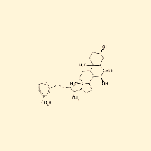 CC[C@@H]1C2C[C@H](O)CCC2(C)C2CCC3(C)C(CC[C@@H]3[C@H](C)CCCc3cccc(C(=O)O)c3)C2[C@@H]1O